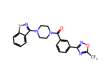 O=C(c1cccc(-c2noc(C(F)(F)F)n2)c1)N1CCN(c2nsc3ccccc23)CC1